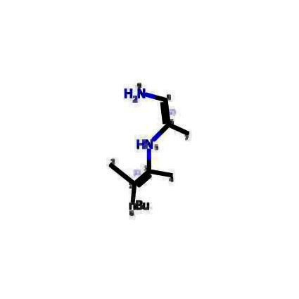 CCCC/C(C)=C(\C)N/C(C)=C\N